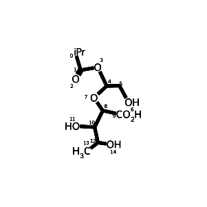 CC(C)C(=O)OC(CO)OC(C(=O)O)C(O)C(C)O